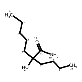 CCCCCC(O)(CCCC)C(N)=O